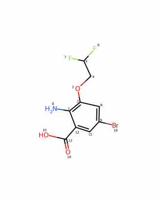 Nc1c(OCC(F)F)cc(Br)cc1C(=O)O